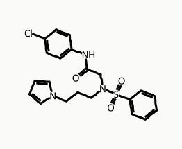 O=C(CN(CCCn1cccc1)S(=O)(=O)c1ccccc1)Nc1ccc(Cl)cc1